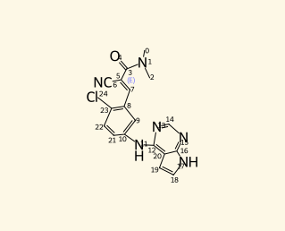 CN(C)C(=O)/C(C#N)=C/c1cc(Nc2ncnc3[nH]ccc23)ccc1Cl